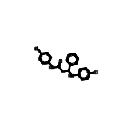 O=C(CC(Nc1ccc(Cl)cc1)c1ccccc1)Nc1ccc(Cl)cc1